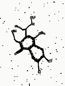 CC(C)COc1c(C(NC(=O)O)C(C)(C)C)n(CC(C)(C)C)c(=O)c2cc(Cl)c(Cl)cc12